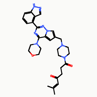 CC(C)=CC(=O)CCC(=O)N1CCN(Cc2cc3c(N4CCOCC4)nc(-c4cccc5[nH]ncc45)nn3c2)CC1